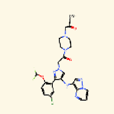 COC(=O)CN1CCN(C(=O)Cn2cc(Nc3cnn4cccnc34)c(-c3cc(Cl)ccc3OC(F)F)n2)CC1